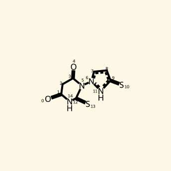 O=C1CC(=O)N(n2ccc(=S)[nH]2)C(=S)N1